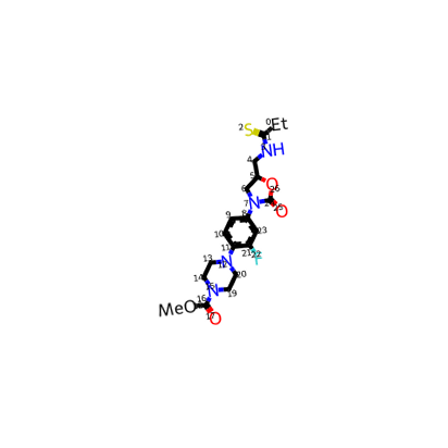 CCC(=S)NCC1CN(c2ccc(N3CCN(C(=O)OC)CC3)c(F)c2)C(=O)O1